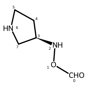 O=CON[C@@H]1CCNC1